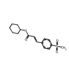 CS(=O)(=O)c1ccc(/C=C/C(=O)OC2CCCCC2)cc1